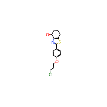 O=C1CCCc2sc(-c3ccc(OCCCCl)cc3)nc21